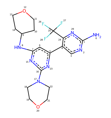 Nc1ncc(-c2cc(NC3CCOCC3)nc(N3CCOCC3)n2)c(C(F)(F)F)n1